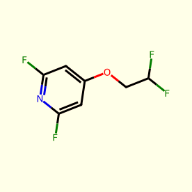 Fc1cc(OCC(F)F)cc(F)n1